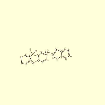 CC1(C)c2ccccc2Sc2ccc(Nc3ccc4ccccc4c3)cc21